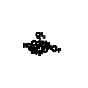 CCC[C@H](NC(=O)N1c2cnn(-c3ccc(F)cc3)c2CCC1C(F)(F)F)c1ccc(O)c(S(C)(=O)=O)c1